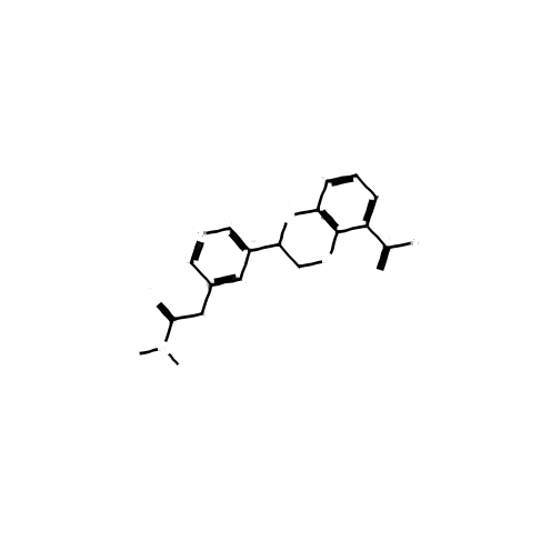 CN(C)C(=O)Cc1cncc(C2COc3c(cccc3C(N)=O)O2)c1